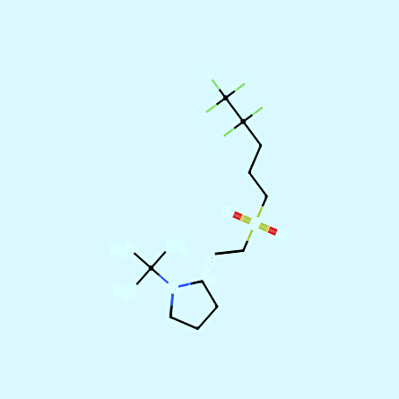 CC(C)(C)N1CCC[C@H]1CCS(=O)(=O)CCCC(F)(F)C(F)(F)F